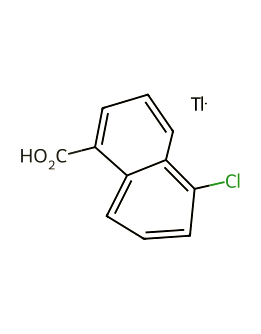 O=C(O)c1cccc2c(Cl)cccc12.[Tl]